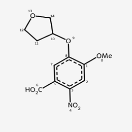 COc1cc([N+](=O)[O-])c(C(=O)O)cc1OC1CCOC1